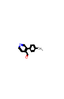 Cc1ccc(-c2cnccc2C=O)cc1